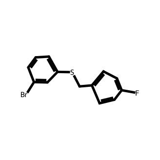 Fc1ccc(CSc2cccc(Br)c2)cc1